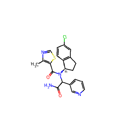 Cc1ncsc1C(=O)N(C(C(N)=O)c1cccnc1)[C@@H]1CCc2cc(Cl)ccc21